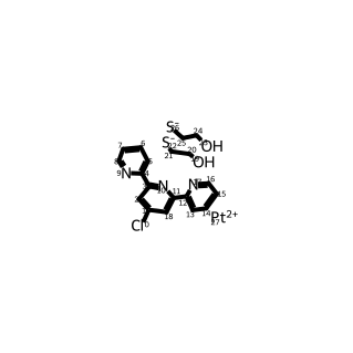 Clc1cc(-c2ccccn2)nc(-c2ccccn2)c1.OCC[S-].OCC[S-].[Pt+2]